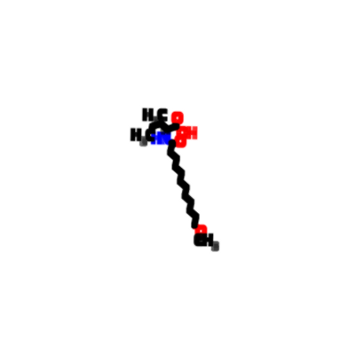 CC[C@@H](C)[C@@H](NC(=O)CCCCCCCCCCCOC)C(=O)O